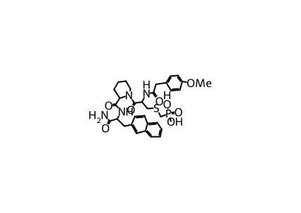 COc1ccc(CC(=O)NC(CSCP(=O)(O)O)C(=O)N2CCCCC2C(=O)NC(Cc2ccc3ccccc3c2)C(N)=O)cc1